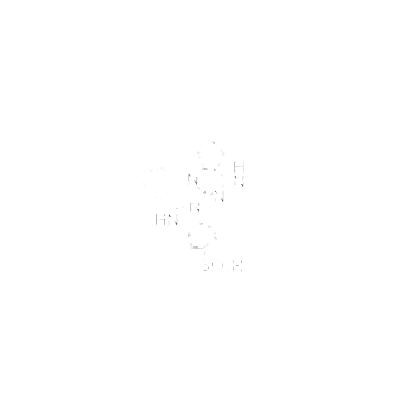 O=S(=O)(O)c1ccc2c(c1)NC(c1ccccc1)N2c1nc(NC2CCCC2)c2ccccc2n1